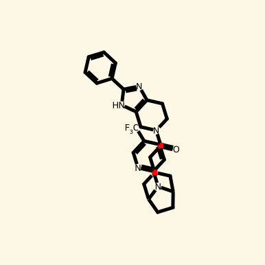 O=C(CN1CC2CCC(C1)N2c1ccc(C(F)(F)F)cn1)N1CCc2nc(-c3ccccc3)[nH]c2C1